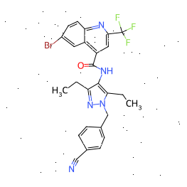 CCc1nn(Cc2ccc(C#N)cc2)c(CC)c1NC(=O)c1cc(C(F)(F)F)nc2ccc(Br)cc12